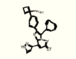 CCc1cc(-c2cc[nH]n2)c2nc(-c3ccc(C4(NC(C)=O)CCC4)cc3)c(-c3ccccc3)n2n1